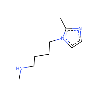 CNCCCCn1ccnc1C